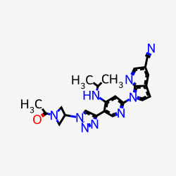 CC(=O)N1CC(n2cc(-c3cnc(-n4ccc5cc(C#N)cnc54)cc3NC(C)C)nn2)C1